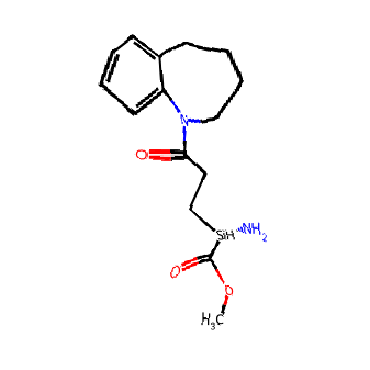 COC(=O)[Si@@H](N)CCC(=O)N1CCCCc2ccccc21